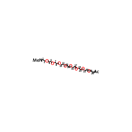 CNCCOCCOCCOCCOCCOCCOCCOCCOCCC(C)=O